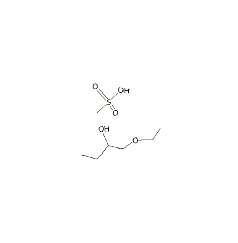 CCOCC(O)CC.CS(=O)(=O)O